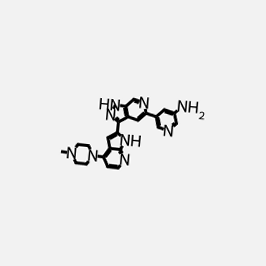 CN1CCN(c2ccnc3[nH]c(-c4n[nH]c5cnc(-c6cncc(N)c6)cc45)cc23)CC1